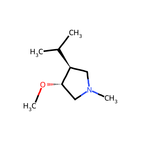 CO[C@H]1CN(C)C[C@@H]1C(C)C